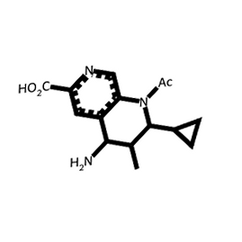 CC(=O)N1c2cnc(C(=O)O)cc2C(N)C(C)C1C1CC1